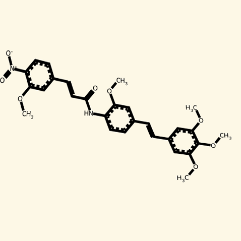 COc1cc(/C=C/c2cc(OC)c(OC)c(OC)c2)ccc1NC(=O)/C=C/c1ccc([N+](=O)[O-])c(OC)c1